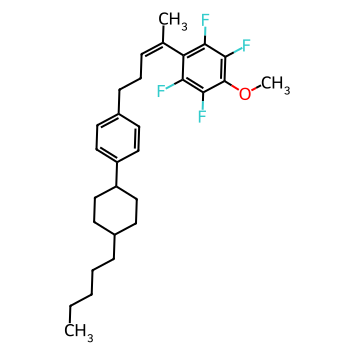 CCCCCC1CCC(c2ccc(CCC=C(C)c3c(F)c(F)c(OC)c(F)c3F)cc2)CC1